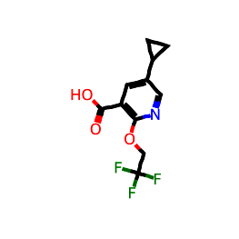 O=C(O)c1cc(C2CC2)cnc1OCC(F)(F)F